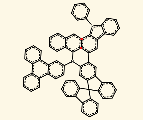 c1ccc(-n2c3ccccc3c3cc(-c4cc5c(cc4N(c4ccc6c7ccccc7c7ccccc7c6c4)c4cccc6ccccc46)C4(c6ccccc6-c6ccccc64)c4ccccc4-5)ccc32)cc1